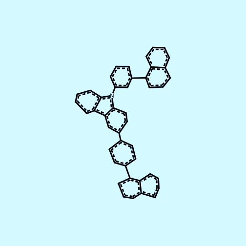 c1cc(-c2cccc3ccccc23)cc(-n2c3ccccc3c3cc(-c4ccc(-c5cccc6ccccc56)cc4)ccc32)c1